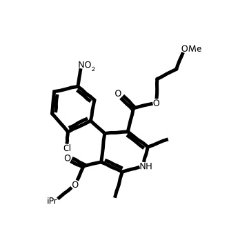 COCCOC(=O)C1=C(C)NC(C)=C(C(=O)OC(C)C)C1c1cc([N+](=O)[O-])ccc1Cl